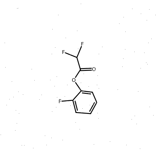 O=C(Oc1ccccc1F)C(F)F